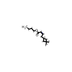 CCCCOC(=O)/C=C\CC1CC(F)(F)C1